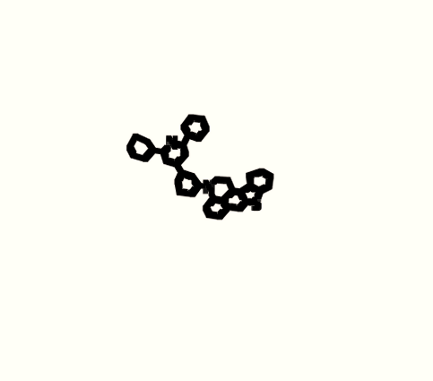 C1=CCCC(c2cc(-c3cccc(N4C=Cc5c6c4cccc6cc4sc6ccccc6c54)c3)cc(-c3ccccc3)n2)=C1